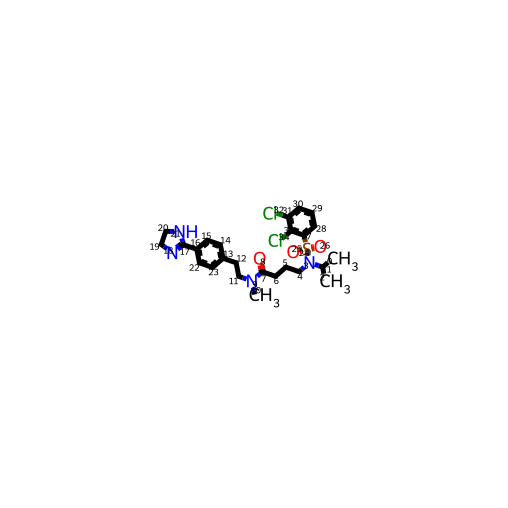 CC(C)N(CCCC(=O)N(C)CCc1ccc(C2=NCCN2)cc1)S(=O)(=O)c1cccc(Cl)c1Cl